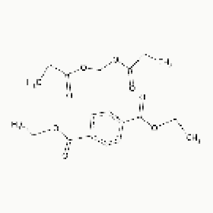 CCC(=O)OCOC(=O)CC.CCOC(=O)c1ccc(C(=O)OCC)cc1